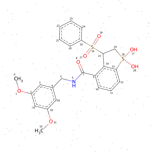 COc1cc(CNC(=O)c2cccc3c2C(S(=O)(=O)c2ccccc2)CS3(O)O)cc(OC)c1